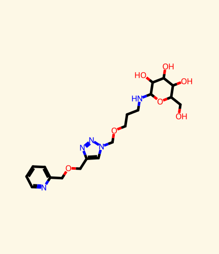 OCC1OC(NCCCOCn2cc(COCc3ccccn3)nn2)C(O)C(O)C1O